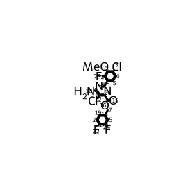 COc1c(Cl)ccc(-c2nc(N)c(Cl)c(C(=O)OCc3ccc(F)c(F)c3)n2)c1F